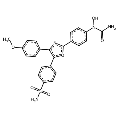 COc1ccc(-c2nc(-c3ccc(N(O)C(N)=O)cc3)oc2-c2ccc(S(N)(=O)=O)cc2)cc1